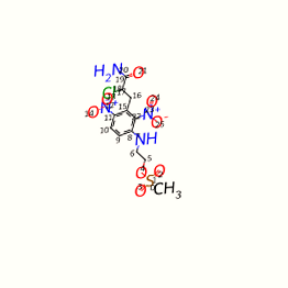 CS(=O)(=O)OCCNc1ccc([N+](=O)[O-])c(CC(Cl)C(N)=O)c1[N+](=O)[O-]